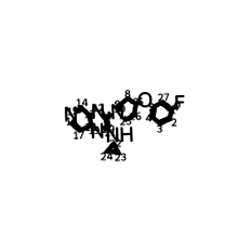 Fc1cccc(OC2CCN(c3nc4cnccc4nc3NC3CC3)CC2)c1